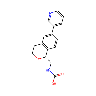 O=C(O)NC[C@@H]1OCCc2cc(-c3cccnc3)ccc21